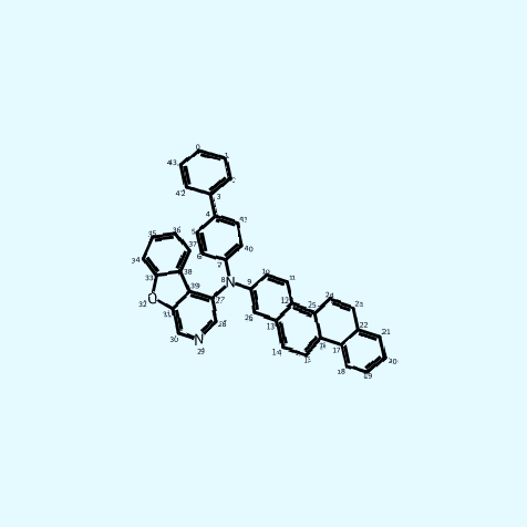 c1ccc(-c2ccc(N(c3ccc4c(ccc5c6ccccc6ccc45)c3)c3cncc4oc5ccccc5c34)cc2)cc1